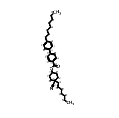 CCCCCCCCc1ccc(-c2ccc(C(=O)OC3CCC(C#N)(CCCCCCC)CC3)cc2)cc1